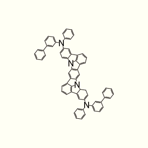 C1=C2c3cccc4c5cc6c(cc5n(c34)C2CC=C1N(c1ccccc1)c1cccc(-c2ccccc2)c1)c1cccc2c3cc(N(c4ccccc4)c4cccc(-c5ccccc5)c4)ccc3n6c21